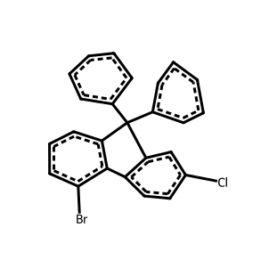 Clc1ccc2c(c1)C(c1ccccc1)(c1ccccc1)c1cccc(Br)c1-2